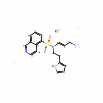 Cl.NCC=CN(CCc1cccs1)S(=O)(=O)c1cccc2cnccc12